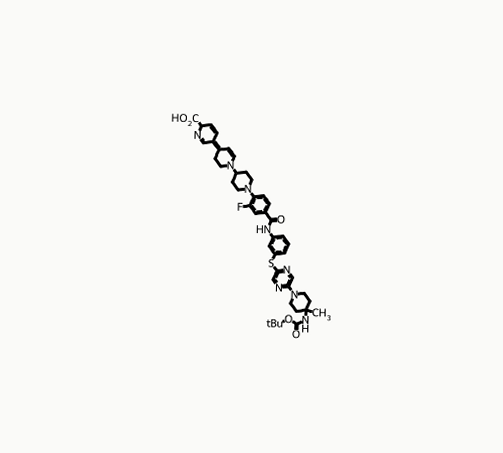 CC1(NC(=O)OC(C)(C)C)CCN(c2cnc(Sc3cccc(NC(=O)c4ccc(N5CCC(N6C=CC(=C7C=CC(C(=O)O)N=C7)CC6)CC5)c(F)c4)c3)cn2)CC1